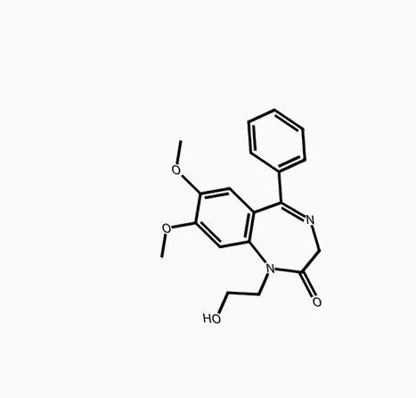 COc1cc2c(cc1OC)N(CCO)C(=O)CN=C2c1ccccc1